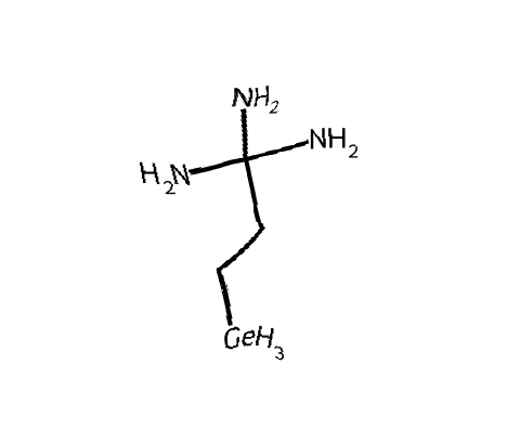 NC(N)(N)C[CH2][GeH3]